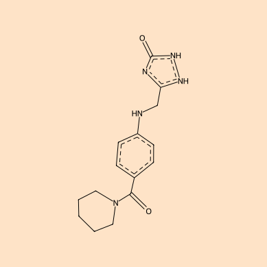 O=C(c1ccc(NCc2nc(=O)[nH][nH]2)cc1)N1CCCCC1